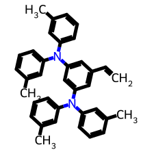 C=Cc1cc(N(c2cccc(C)c2)c2cccc(C)c2)cc(N(c2cccc(C)c2)c2cccc(C)c2)c1